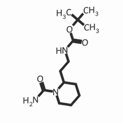 CC(C)(C)OC(=O)NCCC1CCCCN1C(N)=O